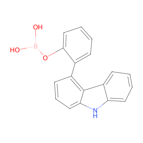 OB(O)Oc1ccccc1-c1cccc2[nH]c3ccccc3c12